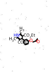 CCOC(=O)C1=C(C)NC(C)=C(C(=O)OCC)C1c1cccc(OCC2CO2)c1